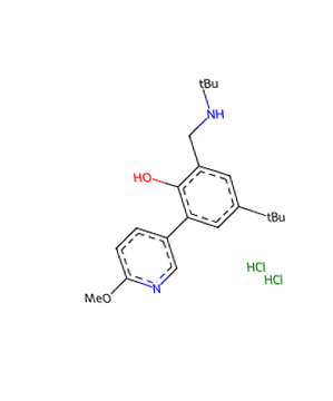 COc1ccc(-c2cc(C(C)(C)C)cc(CNC(C)(C)C)c2O)cn1.Cl.Cl